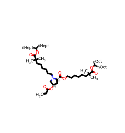 C=CC(=O)O[C@H]1C[C@@H](C(=O)OCCCCCCC(C)(C)C(=O)OC(CCCCCCCC)CCCCCCCC)N(CCCCCCC(C)(C)C(=O)OC(CCCCCCC)CCCCCCC)C1